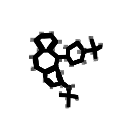 CC(C)(C)Oc1ccc2c(c1)C(C1CCN(C(C)(C)C)CC1)c1ccccc1C=C2